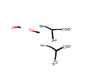 CC(=O)C(C(=O)[O-])C(C)(C)C.CC(=O)C(C(=O)[O-])C(C)(C)C.C[O-].C[O-].[Ti+4]